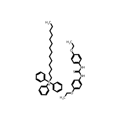 CCCCCCCCCCCCCC[PH](c1ccccc1)(c1ccccc1)c1ccccc1.CCOc1ccc(NC(=S)Nc2ccc(OCC)cc2)cc1